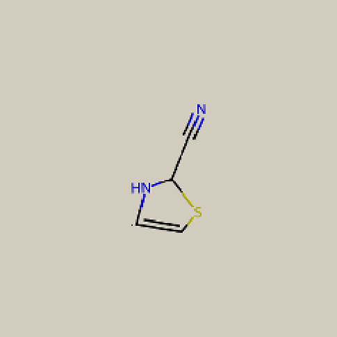 N#CC1N[C]=CS1